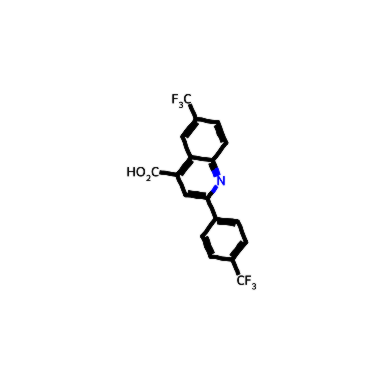 O=C(O)c1cc(-c2ccc(C(F)(F)F)cc2)nc2ccc(C(F)(F)F)cc12